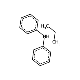 CCC.c1ccc(Nc2ccccc2)cc1